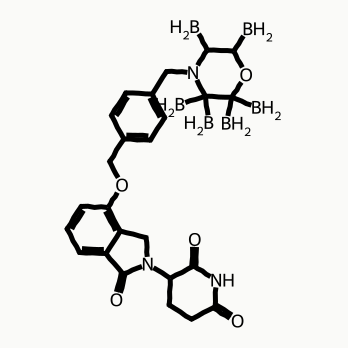 BC1OC(B)(B)C(B)(B)N(Cc2ccc(COc3cccc4c3CN(C3CCC(=O)NC3=O)C4=O)cc2)C1B